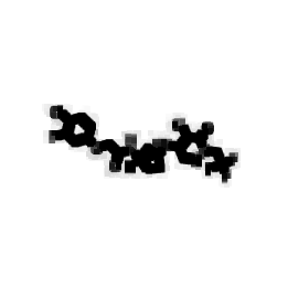 O=C(COc1ccc(Cl)c(F)c1)N[C@@H]1CC2(Nc3cnn(CC(F)(F)F)c(=O)c3Cl)CC1C2